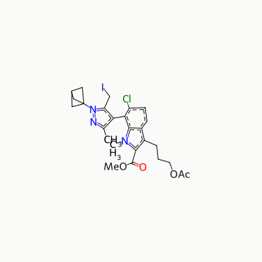 COC(=O)c1c(CCCOC(C)=O)c2ccc(Cl)c(-c3c(C)nn(C45CC(C4)C5)c3CI)c2n1C